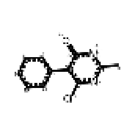 Cc1nc(Cl)c(-c2ccccc2)c(=O)[nH]1